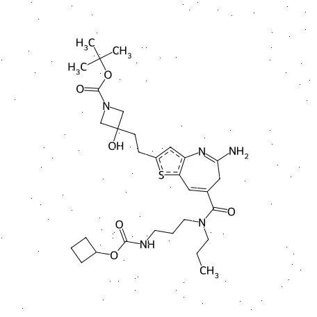 CCCN(CCCNC(=O)OC1CCC1)C(=O)C1=Cc2sc(CCC3(O)CN(C(=O)OC(C)(C)C)C3)cc2N=C(N)C1